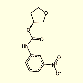 O=C(Nc1cccc([N+](=O)[O-])c1)O[C@H]1CCOC1